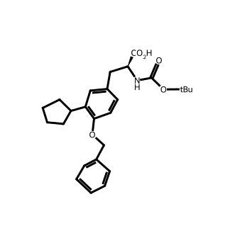 CC(C)(C)OC(=O)N[C@@H](Cc1ccc(OCc2ccccc2)c(C2CCCC2)c1)C(=O)O